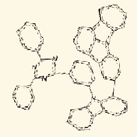 c1ccc(-c2nc(-c3ccccc3)nc(-c3cccc(-n4c5ccccc5c5cccc(-c6ccc7c(c6)c6cccc8c9ccccc9n7c86)c54)c3)n2)cc1